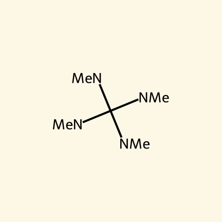 CNC(NC)(NC)NC